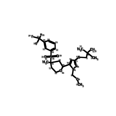 COCn1nc(SCC(C)(C)C)cc1C1CC(C)(S(=O)(=O)c2cccc(C(F)(F)F)c2)CCO1